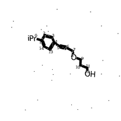 CC(C)c1ccc(C#CCOCCCO)cc1